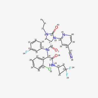 CCCN1C[C@@H](C(=O)N(c2cccc(F)c2)C(C(=O)NC2CC(F)(F)C2)c2ccccc2Cl)N(c2cc(C#N)ccn2)C1=O